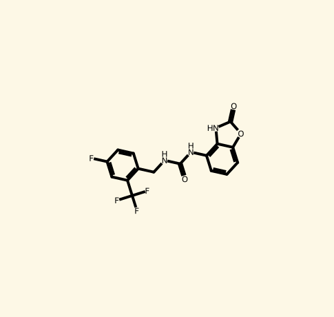 O=C(NCc1ccc(F)cc1C(F)(F)F)Nc1cccc2oc(=O)[nH]c12